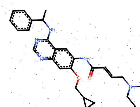 COCCN(C)CC=CC(=O)Nc1cc2c(NC(C)c3ccccc3)ncnc2cc1OCC1CC1